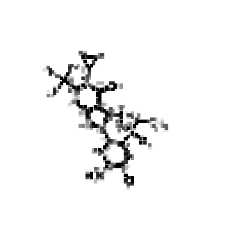 CCS(=O)(=O)c1cc(Cl)c(N)nc1-c1nc2cc(C(F)(F)F)n(C3CC3)c(=O)c2n1C